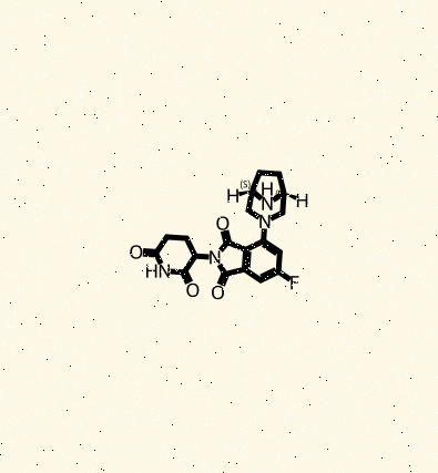 O=C1CCC(N2C(=O)c3cc(F)cc(N4C[C@H]5CC[C@@H](C4)N5)c3C2=O)C(=O)N1